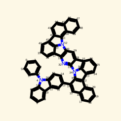 c1ccc(-n2c3ccccc3c3cc(-c4cc5ccccc5c5c6cccc7c8cc9c(nc8n(c45)c76)c4cccc5c6ccc7ccccc7c6n9c54)ccc32)cc1